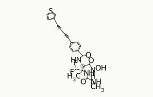 CNC(=O)NC(C)(C(F)F)[C@H](NC(=O)c1ccc(C#CC#Cc2ccsc2)cc1)C(=O)NO